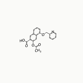 CC(=O)Oc1cc2c(OCc3ccccn3)cccc2cc1C(=O)O